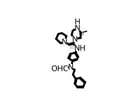 C[C@H]1CN(/C(=C\N2CCCCC2)Nc2ccc(N(C=O)CCc3ccccc3)cc2)CCN1